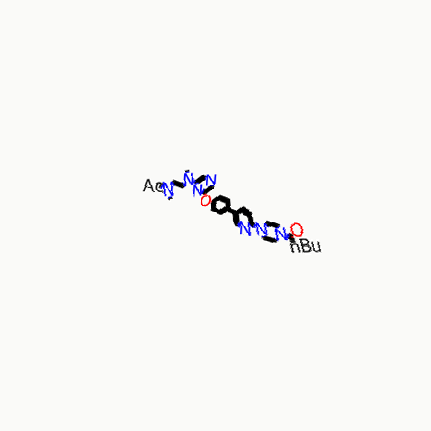 CCCCC(=O)N1CCN(c2ccc(-c3ccc(Oc4cncc(N(C)CCN(C)C(C)=O)n4)cc3)cn2)CC1